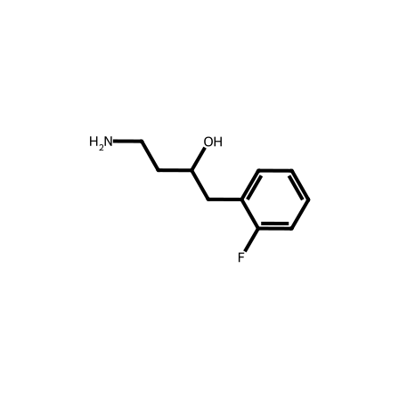 NCCC(O)Cc1ccccc1F